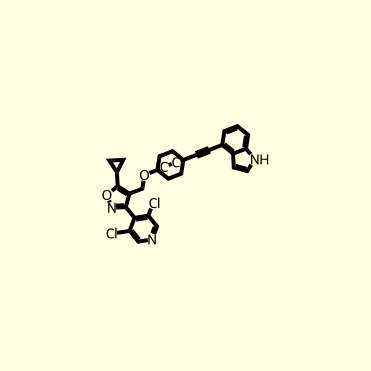 Clc1cncc(Cl)c1-c1noc(C2CC2)c1COC12CCC(C#Cc3cccc4[nH]ccc34)(CC1)CC2